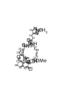 CO[C@H]1/C=C/CCC[S@@](=O)(NC(=O)CCc2cnn(C)n2)=NC(=O)c2ccc3c(c2)N(C[C@@H]2CC[C@H]21)C[C@@]1(CCCc2cc(Cl)ccc21)CO3